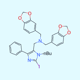 CCCCn1c(I)nc(-c2ccccc2)c1CN(Cc1ccc2c(c1)OCO2)Cc1ccc2c(c1)OCO2